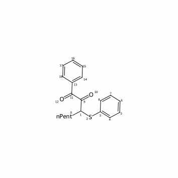 CCCCCC(Sc1ccccc1)C(=O)C(=O)c1ccccc1